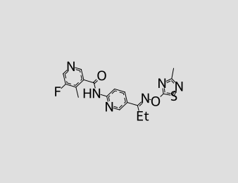 CCC(=NOc1nc(C)ns1)c1ccc(NC(=O)c2cncc(F)c2C)nc1